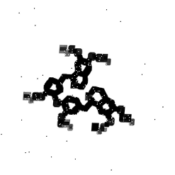 COC1=CC2CCN=C(Cc3ccc(Oc4cc(CC5=NCCc6cc(OC)c(OC)cc65)ccc4OC)c(OC)c3)C2C=C1OC